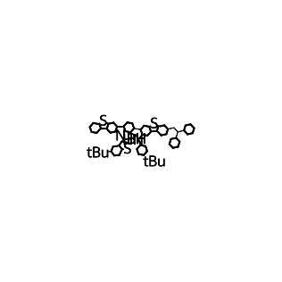 CC(C)(C)c1ccc(Nc2cc3c(cc2-c2ccc4c5cc6sc7ccccc7c6cc5n5c4c2Bc2sc4ccc(C(C)(C)C)cc4c2-5)sc2cc(CC(c4ccccc4)c4ccccc4)ccc23)cc1